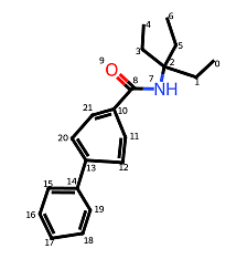 CCC(CC)(CC)NC(=O)c1ccc(-c2ccccc2)cc1